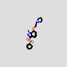 Cn1nc(S(=O)(=O)c2ccccc2)c2cccc(OCCN3CCCC3)c21